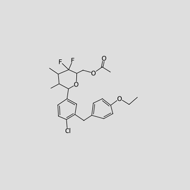 CCOc1ccc(Cc2cc(C3OC(COC(C)=O)C(F)(F)C(C)C3C)ccc2Cl)cc1